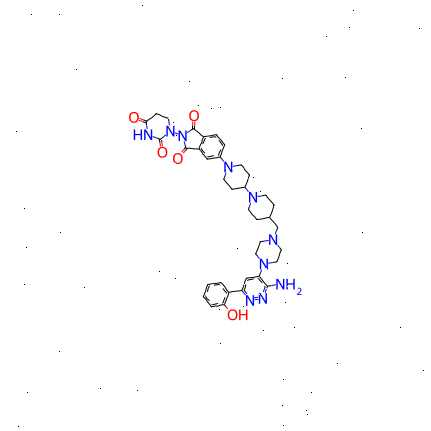 Nc1nnc(-c2ccccc2O)cc1N1CCN(CC2CCN(C3CCN(c4ccc5c(c4)C(=O)N(N4CCC(=O)NC4=O)C5=O)CC3)CC2)CC1